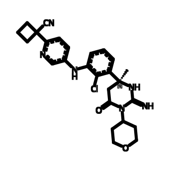 C[C@@]1(c2cccc(Nc3ccc(C4(C#N)CCC4)nc3)c2Cl)CC(=O)N(C2CCOCC2)C(=N)N1